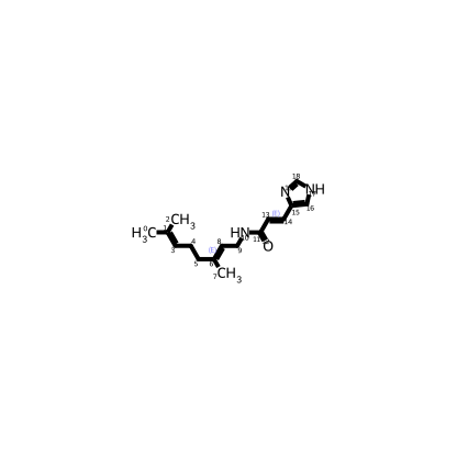 CC(C)=CCC/C(C)=C/CNC(=O)/C=C/c1c[nH]cn1